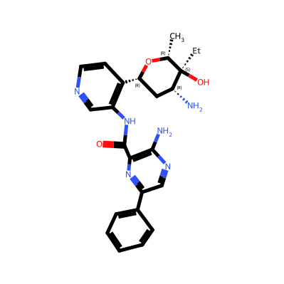 CC[C@]1(O)[C@H](N)C[C@H](c2ccncc2NC(=O)c2nc(-c3ccccc3)cnc2N)O[C@@H]1C